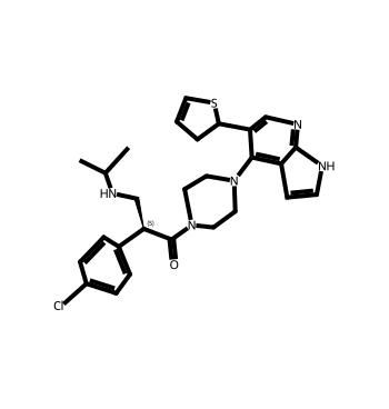 CC(C)NC[C@@H](C(=O)N1CCN(c2c(C3CC=CS3)cnc3[nH]ccc23)CC1)c1ccc(Cl)cc1